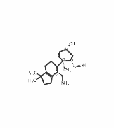 CC1(C)CCC2=C1CCC([C@@]1(C)CC[C@H](O)C[C@@H]1CO)[C@H]2CN